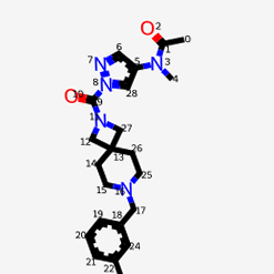 CC(=O)N(C)c1cnn(C(=O)N2CC3(CCN(Cc4cccc(C)c4)CC3)C2)c1